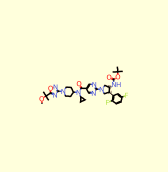 COC(C)(C)c1nc(N2CCC(N(C(=O)c3cnc(N4C[C@H](NC(=O)OC(C)(C)C)[C@@H](c5cc(F)ccc5F)C4)nc3)C3CC3)CC2)no1